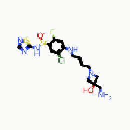 NCC1(O)CN(CCCCNc2cc(F)c([S+]([O-])Nc3ncns3)cc2Cl)C1